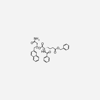 NC(=O)C[C@H](Cc1ccc2ccccc2c1)OC(=O)[C@H](CCCC(=O)OCc1ccccc1)NC(=O)c1ccccc1